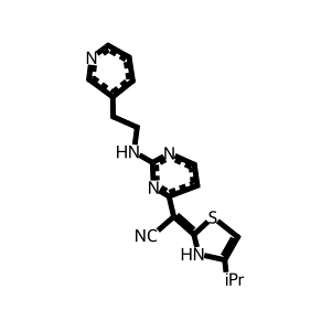 CC(C)C1=CSC(=C(C#N)c2ccnc(NCCc3cccnc3)n2)N1